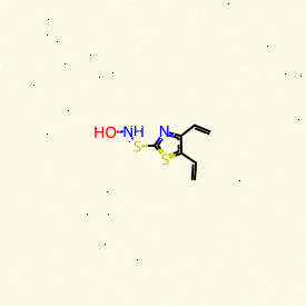 C=Cc1nc(SNO)sc1C=C